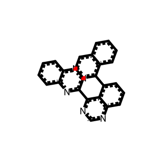 [c]1nc(-c2cnc3ccccc3n2)c2c(-c3nccc4ccccc34)cccc2n1